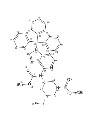 CC(C)(C)OC(=O)N1C[C@H](CF)C[C@H](N(C(=O)OC(C)(C)C)c2ncnc3c2ccn3C(c2ccccc2)(c2ccccc2)c2ccccc2)C1